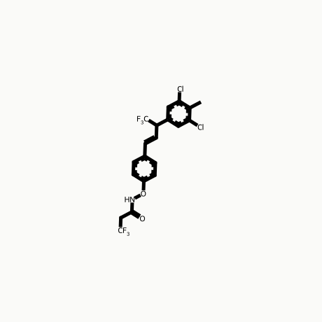 Cc1c(Cl)cc(C(/C=C/c2ccc(ONC(=O)CC(F)(F)F)cc2)C(F)(F)F)cc1Cl